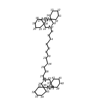 C(CCCCCCN1CC2(CCCCC2)NC2(CCCCC2)C1)CCCCCN1CC2(CCCCC2)NC2(CCCCC2)C1